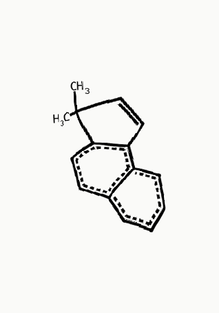 CC1(C)C=Cc2c1ccc1ccccc21